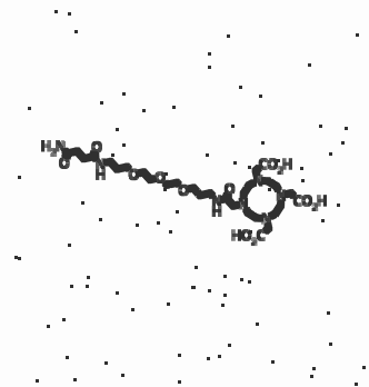 NC(=O)CCC(=O)NCCCOCCOCCOCCCNC(=O)CN1CCN(CC(=O)O)CCN(CC(=O)O)CCN(CC(=O)O)CC1